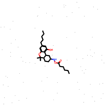 CCCCCC(=O)ONC1CCC2C(C1)c1c(O)cc(CCCCC)cc1OC2(C)C